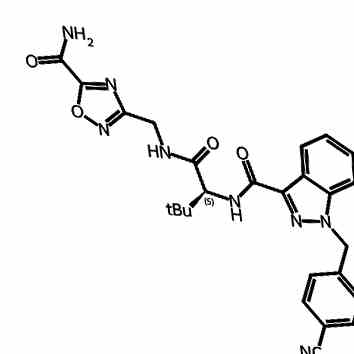 CC(C)(C)[C@H](NC(=O)c1nn(Cc2ccc(C#N)cc2)c2ccccc12)C(=O)NCc1noc(C(N)=O)n1